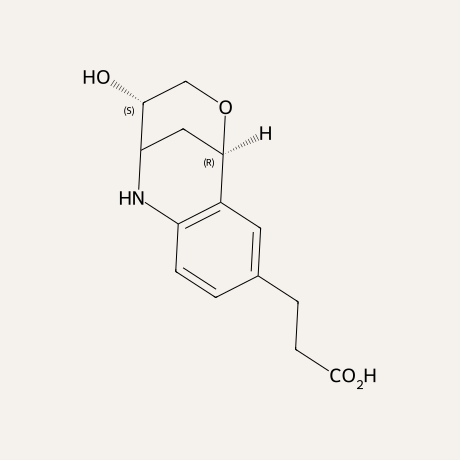 O=C(O)CCc1ccc2c(c1)[C@H]1CC(N2)[C@H](O)CO1